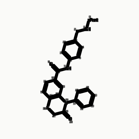 CCCCCNSc1ccc(NC(=O)c2ccc3c(c2)N(c2ccccc2)C(=O)CS3)cc1